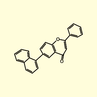 O=c1cc(-c2ccccc2)oc2ccc(-c3cccc4ccccc34)cc12